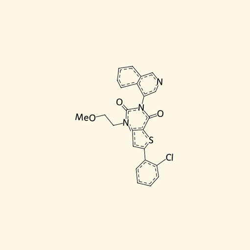 COCCn1c(=O)n(-c2cncc3ccccc23)c(=O)c2sc(-c3ccccc3Cl)cc21